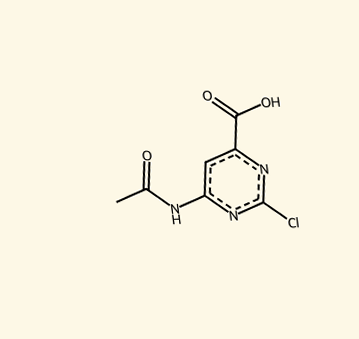 CC(=O)Nc1cc(C(=O)O)nc(Cl)n1